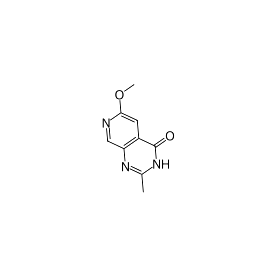 COc1cc2c(=O)[nH]c(C)nc2cn1